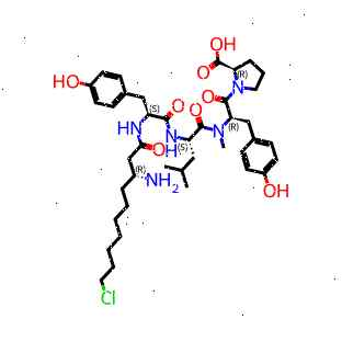 CC(C)C[C@H](NC(=O)[C@H](Cc1ccc(O)cc1)NC(=O)C[C@H](N)CCCCCCCCl)C(=O)N(C)[C@H](Cc1ccc(O)cc1)C(=O)N1CCC[C@@H]1C(=O)O